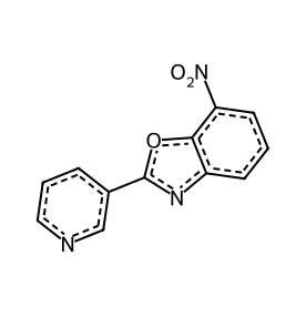 O=[N+]([O-])c1cccc2nc(-c3cccnc3)oc12